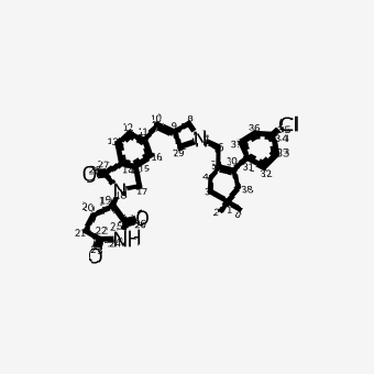 CC1(C)CCC(CN2CC(=Cc3ccc4c(c3)CN(C3CCC(=O)NC3=O)C4=O)C2)=C(c2ccc(Cl)cc2)C1